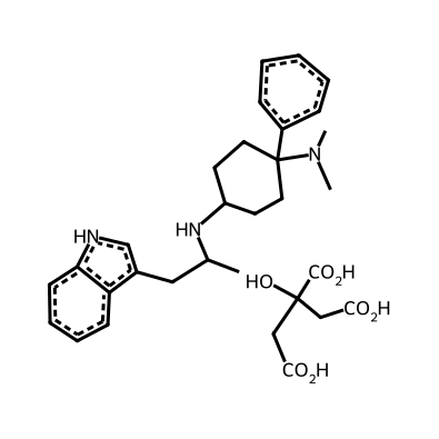 CC(Cc1c[nH]c2ccccc12)NC1CCC(c2ccccc2)(N(C)C)CC1.O=C(O)CC(O)(CC(=O)O)C(=O)O